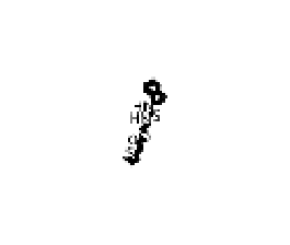 O=C(Cc1cccs1)OCCNC(=S)NC1CCc2ccccc21